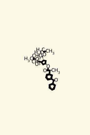 C[C@@H](C(=O)O[C@H]1CC(C(=O)OC(C)(C)C)[C@H](C(=O)OC(C)(C)C)C1)c1cccc(C(=O)c2ccccc2)c1